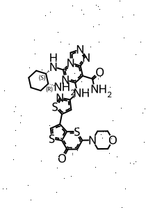 NC(=O)c1c(Nc2cc(-c3csc4c(=O)cc(N5CCOCC5)sc34)sn2)nc(N[C@H]2CCCC[C@H]2N)n2cnnc12